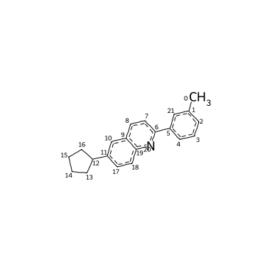 Cc1cccc(-c2ccc3cc(C4CCCC4)ccc3n2)c1